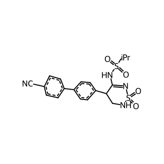 CC(C)S(=O)(=O)NC1=NS(=O)(=O)NCC1c1ccc(-c2ccc(C#N)cc2)cc1